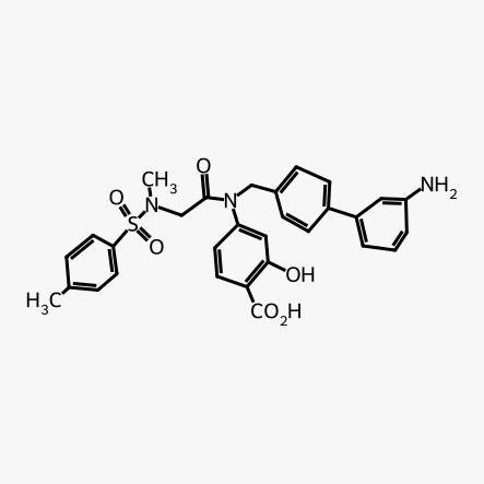 Cc1ccc(S(=O)(=O)N(C)CC(=O)N(Cc2ccc(-c3cccc(N)c3)cc2)c2ccc(C(=O)O)c(O)c2)cc1